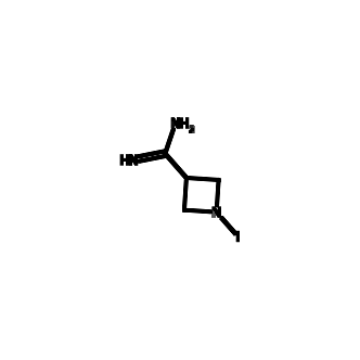 N=C(N)C1CN(I)C1